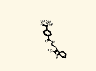 Cc1[nH]c2ccccc2c1CCNC(=O)c1ccc(/C(=N/N)NN)cc1